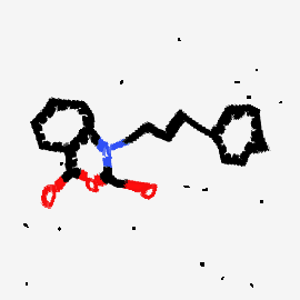 O=c1oc(=O)n(CC=Cc2ccccc2)c2ccccc12